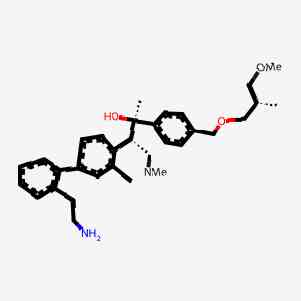 CNC[C@H](c1ccc(-c2ccccc2CCN)cc1C)[C@@](C)(O)c1ccc(COC[C@@H](C)COC)cc1